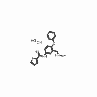 CC(C)NCc1cc(NC(=N)c2cccs2)ccc1Oc1ccccc1.Cl.Cl